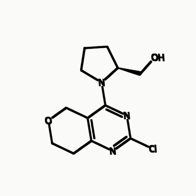 OC[C@@H]1CCCN1c1nc(Cl)nc2c1COCC2